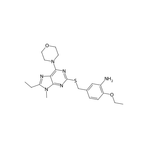 CCOc1ccc(CSc2nc(N3CCOCC3)c3nc(CC)n(C)c3n2)cc1N